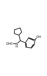 O=CNC(c1cccc(O)c1)C1CCCC1